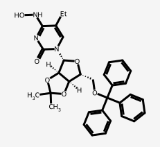 CCc1cn([C@@H]2O[C@H](COC(c3ccccc3)(c3ccccc3)c3ccccc3)[C@H]3OC(C)(C)O[C@H]32)c(=O)nc1NO